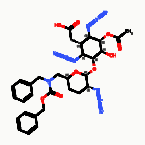 CC(=O)O[C@@H]1[C@@H](O)[C@H](O[C@H]2O[C@H](CN(Cc3ccccc3)C(=O)OCc3ccccc3)CC[C@H]2N=[N+]=[N-])[C@@H](N=[N+]=[N-])[C@H](CC(=O)O)[C@H]1N=[N+]=[N-]